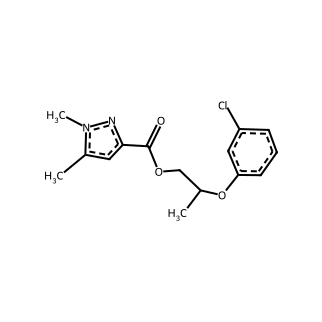 Cc1cc(C(=O)OCC(C)Oc2cccc(Cl)c2)nn1C